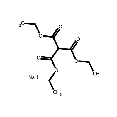 CCOC(=O)C(C(=O)OCC)C(=O)OCC.[NaH]